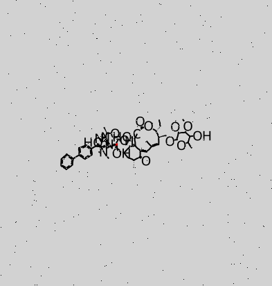 CC[C@H]1OC(=O)C[C@@H](O)[C@@H]2/C(=C\C(C)=C\[C@@H]1COC1OC(C)C(O)C(OC)C1OC)C(=O)[C@H](C)C[C@H](CCn1cc(-c3ccc(-c4ccccc4)cc3)nn1)[C@@H]2O[C@@H]1O[C@H](C)C(O)C(N(C)C)C1O